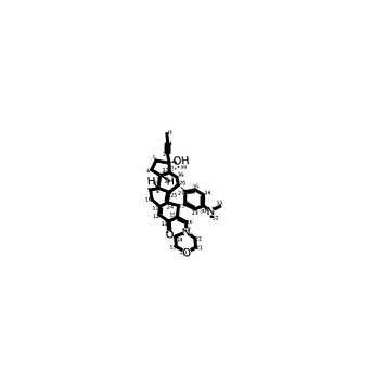 CC#C[C@]1(O)CC[C@H]2[C@@H]3CCC4=CC(=O)/C(=C\N5CCOCC5)CC4=C3[C@@H](c3ccc(N(C)C)cc3)C[C@@]21C